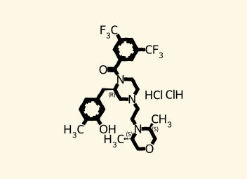 Cc1ccc(C[C@@H]2CN(CCN3[C@@H](C)COC[C@@H]3C)CCN2C(=O)c2cc(C(F)(F)F)cc(C(F)(F)F)c2)cc1O.Cl.Cl